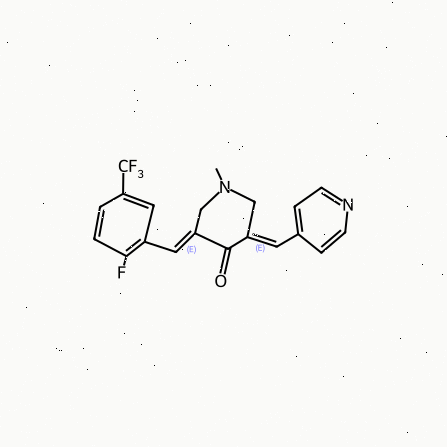 CN1C/C(=C\c2ccncc2)C(=O)/C(=C/c2cc(C(F)(F)F)ccc2F)C1